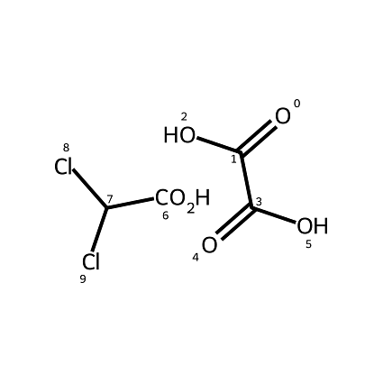 O=C(O)C(=O)O.O=C(O)C(Cl)Cl